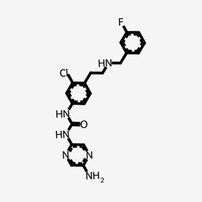 Nc1cnc(NC(=O)Nc2ccc(CCNCc3cccc(F)c3)c(Cl)c2)cn1